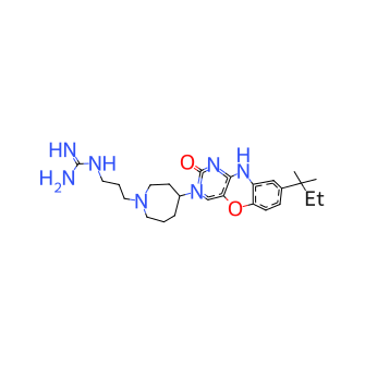 CCC(C)(C)c1ccc2c(c1)Nc1nc(=O)n(C3CCCN(CCCNC(=N)N)CC3)cc1O2